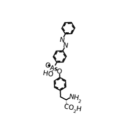 N[C@@H](Cc1ccc(O[As](=O)(O)c2ccc(N=Nc3ccccc3)cc2)cc1)C(=O)O